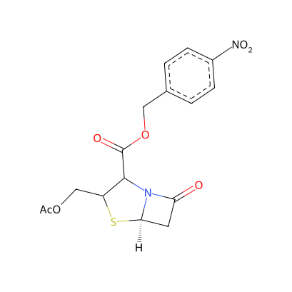 CC(=O)OCC1S[C@@H]2CC(=O)N2C1C(=O)OCc1ccc([N+](=O)[O-])cc1